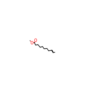 CC=CCCCCCCCC(=O)OC